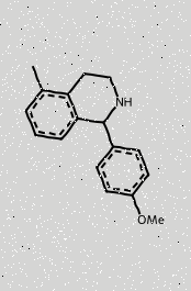 COc1ccc(C2NCCc3c(C)cccc32)cc1